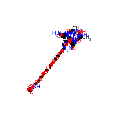 COc1cc(C(N)=O)cc2nc(NC(=O)/C(=C/C(C)=N)NCCO)n(CCCCn3c(NC(=O)/C(=C/C(C)=N)NCCO)nc4cc(C(N)=O)cc(OCCCN5CCN(CCOCCOCCOCCOCCOCCOCCOCCOCCOCCOCCNC(=O)CN6C(=O)C=CC6=O)CC5)c43)c12